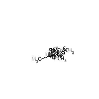 CCCCCCCC1C[C@]1(NC(=O)[C@@H]1CCCN1C(=O)CNC(=O)O[C@H](C(=O)c1ccc(N(C)C)cc1)C(C)C)C(=O)O